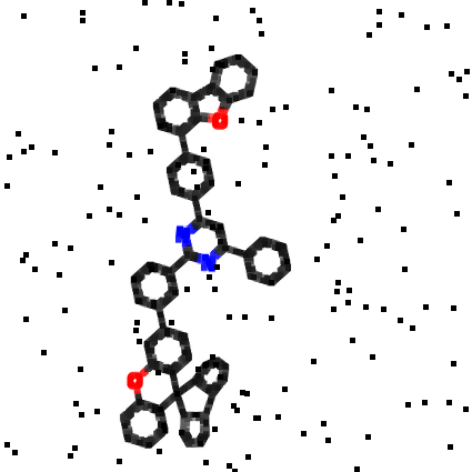 c1ccc(-c2cc(-c3ccc(-c4cccc5c4oc4ccccc45)cc3)nc(-c3cccc(-c4ccc5c(c4)Oc4ccccc4C54c5ccccc5-c5ccccc54)c3)n2)cc1